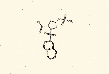 CS(=O)(=O)O[C@H]1C[C@@H](C(=O)O)N(S(=O)(=O)c2ccc3ccccc3c2)C1